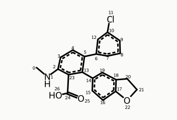 CNc1ccc(-c2cccc(Cl)c2)c(-c2ccc3c(c2)CCO3)c1C(=O)O